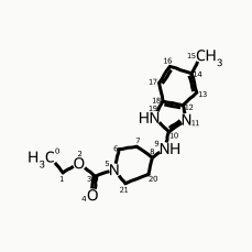 CCOC(=O)N1CCC(Nc2nc3cc(C)ccc3[nH]2)CC1